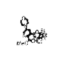 CCC1(CC)OB(c2cc(N3CCOCC3)cnc2[C@H](C)OC)OC1(CC)CC